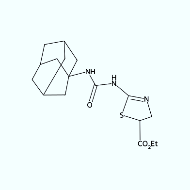 CCOC(=O)C1CN=C(NC(=O)NC23CC4CC(CC(C4)C2)C3)S1